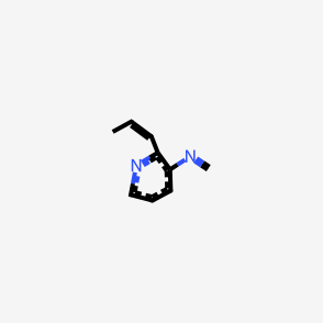 C=Nc1cccnc1/C=C\C